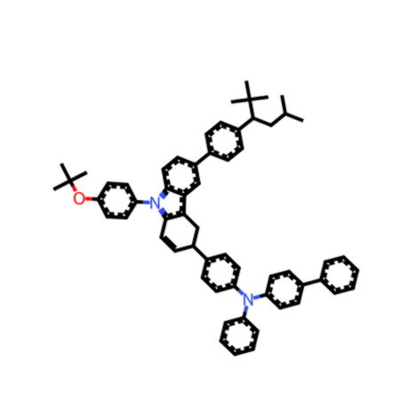 CC(C)CC(c1ccc(-c2ccc3c(c2)c2c(n3-c3ccc(OC(C)(C)C)cc3)C=CC(c3ccc(N(c4ccccc4)c4ccc(-c5ccccc5)cc4)cc3)C2)cc1)C(C)(C)C